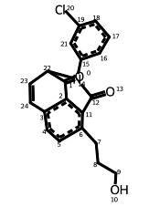 O=C1c2c3ccc(CCCO)c2C(=O)N(c2cccc(Cl)c2)C1C=C3